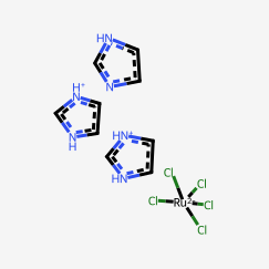 [Cl][Ru-2]([Cl])([Cl])([Cl])[Cl].c1c[nH+]c[nH]1.c1c[nH+]c[nH]1.c1c[nH]cn1